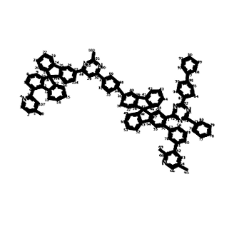 Cc1ccnc(-c2cccc3c2-c2ccccc2C32c3ccccc3-c3cc(-c4cc(-c5ccc(-c6ccc7c(c6)-c6ccccc6C76c7ccccc7-c7cc(-c8cccc(-c9cc(C)cnc9C)c8)c(-c8nc(-c9ccccc9)nc(-c9ccc(-c%10ccccc%10)cc9)n8)cc76)cc5)nc(C)n4)ccc32)c1